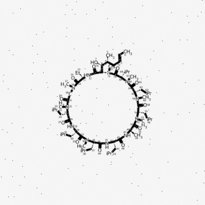 C/C=C/C[C@@H](C)[C@@H](O)[C@H]1C(=O)N[C@@H](CC)C(=O)N(C)CC(=O)N(C)[C@@H](CC(C)C)C(=O)N[C@@H](CC(C)C)C(=O)N(C)[C@@H](CC(C)C)C(=O)N[C@@H](CC(C)C)C(=O)N[C@H](C)C(=O)N(C)[C@@H](CC(C)C)C(=O)N(C)[C@@H](CC(C)C)C(=O)N(C)[C@@H](C(C)C)C(=O)N1C